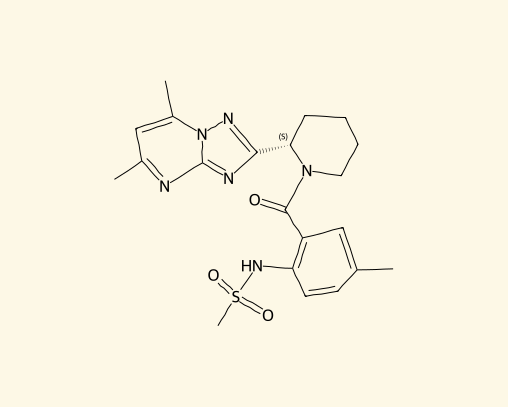 Cc1ccc(NS(C)(=O)=O)c(C(=O)N2CCCC[C@H]2c2nc3nc(C)cc(C)n3n2)c1